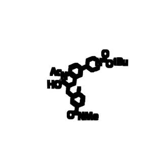 CNC(=O)c1ccc(C)c(CC2Cc3cc(C4CCN(C(=O)OC(C)(C)C)CC4)ccc3N(C(C)=O)[C@H]2O)c1